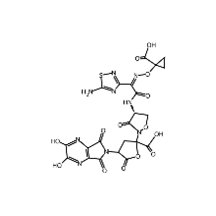 Nc1nc(/C(=N/OC2(C(=O)O)CC2)C(=O)N[C@H]2CON(C3(C(=O)O)CC(N4C(=O)c5nc(O)c(O)nc5C4=O)C(=O)O3)C2=O)ns1